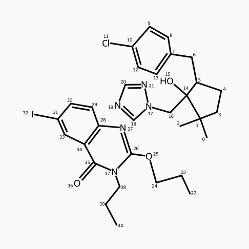 CC1(C)CCC(Cc2ccc(Cl)cc2)C1(O)Cn1cncn1.CCCOc1nc2ccc(I)cc2c(=O)n1CCC